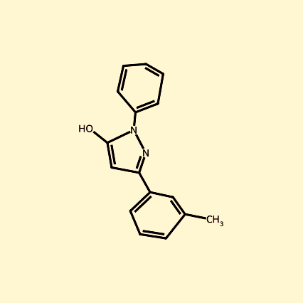 Cc1cccc(-c2cc(O)n(-c3ccccc3)n2)c1